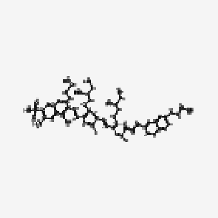 Cc1cc(N=Nc2cc(OCC(O)CO)c(N=Nc3c(SOOO)cc4cc(S(=O)(=O)O)c(N)cc4c3O)cc2C)c(OCC(O)CO)cc1N=Nc1ccc2ccc(SOOO)cc2c1